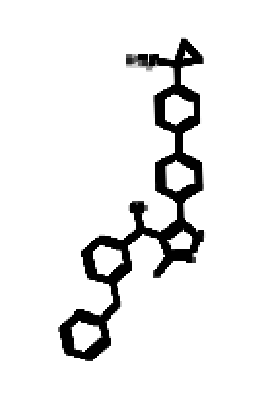 CCOC(=O)C1(c2ccc(-c3ccc(-c4onc(C)c4C(O)c4cccc(Cc5ccccc5)c4)cc3)cc2)CC1